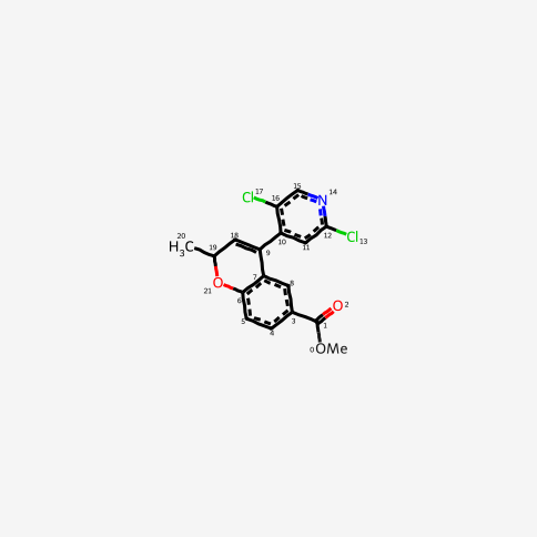 COC(=O)c1ccc2c(c1)C(c1cc(Cl)ncc1Cl)=CC(C)O2